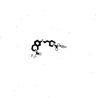 CC(C)(C)OC(=O)N1CCC(CCSc2ccc3c(c2)CN(C(=O)C(F)(F)F)CCC3)CC1